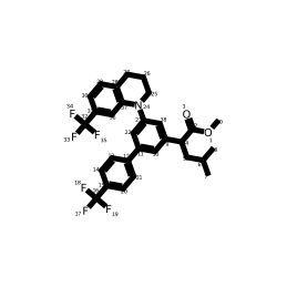 COC(=O)C(CC(C)C)c1cc(-c2ccc(C(F)(F)F)cc2)cc(N2CCCc3ccc(C(F)(F)F)cc32)c1